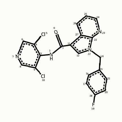 O=C(Nc1c(Cl)cncc1Cl)c1cn(Cc2ccc(F)cc2)c2ncccc12